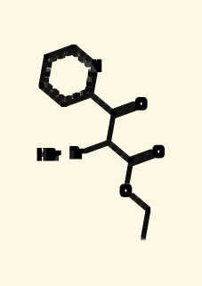 Br.CCOC(=O)C(Br)C(=O)c1ccccn1